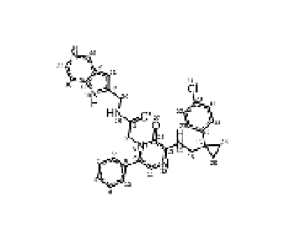 O=C(Cn1c(-c2ccccc2)cnc(NCC2(c3ccc(Cl)cc3)CC2)c1=O)NCc1cc2cnccc2[nH]1